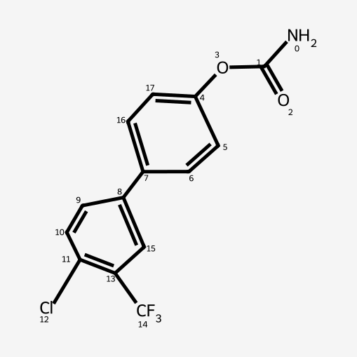 NC(=O)Oc1ccc(-c2ccc(Cl)c(C(F)(F)F)c2)cc1